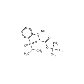 CC(C)S(=O)(=O)c1ccccc1[C@H](N)CC(=O)OC(C)(C)C